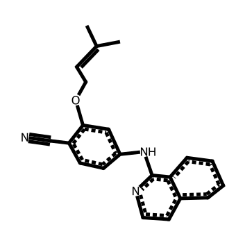 CC(C)=CCOc1cc(Nc2nccc3ccccc23)ccc1C#N